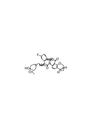 COC(=O)c1c(N(C(=O)OC)[S+]([O-])c2ccc(F)cc2/C=C\CN2CCC(C)(O)CC2)ccc2c1OC[C@@H]1C[C@H]21